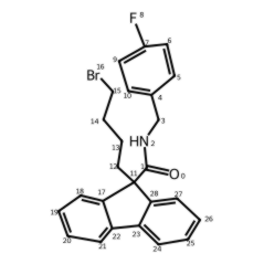 O=C(NCc1ccc(F)cc1)C1(CCCCBr)c2ccccc2-c2ccccc21